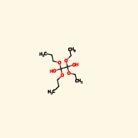 CCCOC(O)(OCCC)C(O)(OCC)OCC